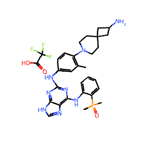 Cc1cc(Nc2nc(Nc3ccccc3P(C)(C)=O)c3nc[nH]c3n2)ccc1N1CCC2(CC1)CC(N)C2.O=C(O)C(F)(F)F